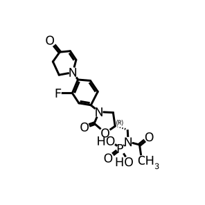 CC(=O)N(C[C@H]1CN(c2ccc(N3C=CC(=O)CC3)c(F)c2)C(=O)O1)P(=O)(O)O